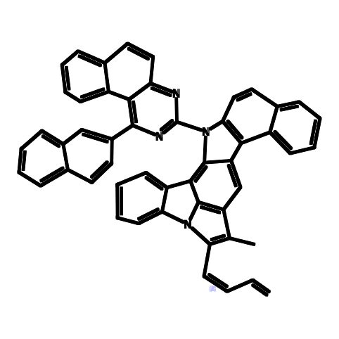 C=C/C=C\c1c(C)c2cc3c4c5ccccc5ccc4n(-c4nc(-c5ccc6ccccc6c5)c5c(ccc6ccccc65)n4)c3c3c4ccccc4n1c23